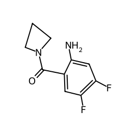 Nc1cc(F)c(F)cc1C(=O)N1CCC1